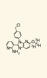 [2H]C([2H])([2H])Oc1ccc2nc(-c3cccnc3N)n(-c3ccc(CCl)cc3)c2n1